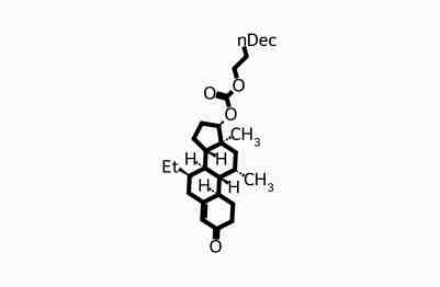 CCCCCCCCCCCCOC(=O)O[C@H]1CC[C@H]2[C@@H]3[C@H](CC)CC4=CC(=O)CC[C@@H]4[C@H]3[C@@H](C)C[C@]12C